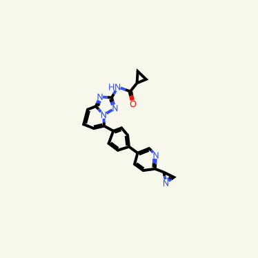 O=C(Nc1nc2cccc(-c3ccc(-c4ccc(C5C=N5)nc4)cc3)n2n1)C1CC1